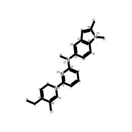 CCC1=CCN(c2cccc(N(C)c3ccc4c(c3)cc(C)n4C)n2)C=C1C